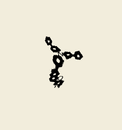 c1ccc(-c2ccc(N(c3ccc(-c4ccccc4)cc3)c3ccc(-c4ccc5ccc6c7cnccc7oc6c5c4)cc3)cc2)cc1